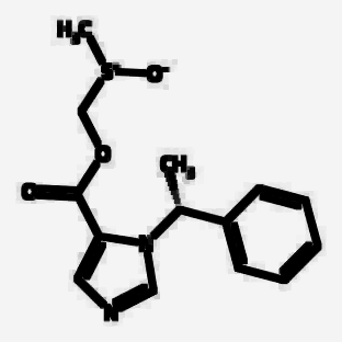 C[C@H](c1ccccc1)n1cncc1C(=O)OC[S+](C)[O-]